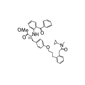 COC(=O)[C@H](Cc1ccc(OCCCc2ccccc2CC(=O)N(C)C2CC2)cc1)Nc1ccccc1C(=O)c1ccccc1